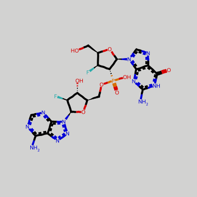 Nc1nc2c(ncn2[C@@H]2O[C@H](CO)[C@H](F)[C@H]2P(=O)(O)OC[C@H]2O[C@@H](n3nnc4c(N)ncnc43)[C@@H](F)[C@@H]2O)c(=O)[nH]1